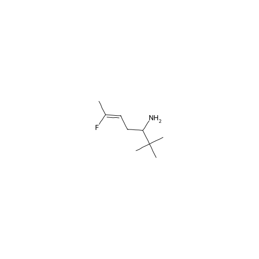 C/C(F)=C/CC(N)C(C)(C)C